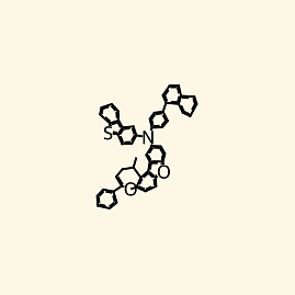 CC1CC=C(c2ccccc2)Oc2ccc3oc4ccc(N(c5ccc(-c6cccc7ccccc67)cc5)c5ccc6sc7ccccc7c6c5)cc4c3c21